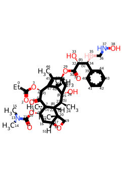 CCC(=O)O[C@H]1C(=O)[C@]2(C)[C@@H](OC(=O)N(C)C)C[C@H]3OC[C@@]3(C)[C@H]2[C@H](C)[C@]2(O)C[C@H](OC(=O)[C@H](O)[C@@H](BCNO)c3ccccc3)C(C)=C1C2(C)C